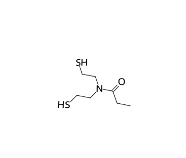 CCC(=O)N(CCS)CCS